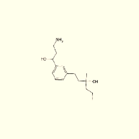 CCCC(C)(O)CCc1cccc(C(O)CCN)c1